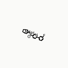 O=C(NC1CC2CCC(C1)N2)c1ccc(-c2cccc(F)c2)nc1